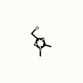 Cc1nc(CCl)nn1C